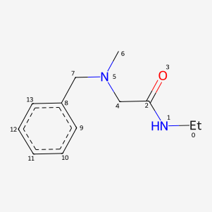 CCNC(=O)CN(C)Cc1ccccc1